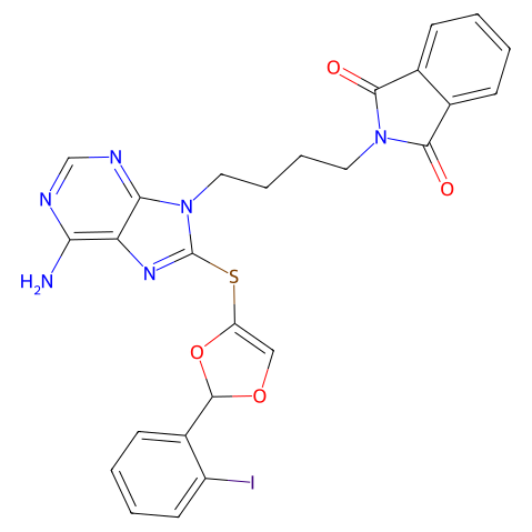 Nc1ncnc2c1nc(SC1=COC(c3ccccc3I)O1)n2CCCCN1C(=O)c2ccccc2C1=O